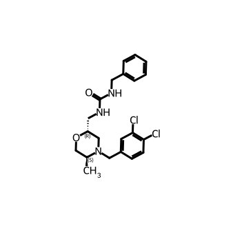 C[C@H]1CO[C@H](CNC(=O)NCc2ccccc2)CN1Cc1ccc(Cl)c(Cl)c1